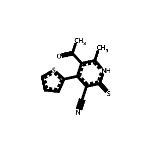 CC(=O)c1c(C)[nH]c(=S)c(C#N)c1-c1cccs1